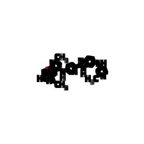 Cc1cc(Nc2ccc3nc(-c4ccc(Nc5cc(C)nc6ccc([C@]78C[C@H]9CC[C@H](O9)[C@H]7[C@H]8C)cc56)cn4)[nH]c3c2)ccn1